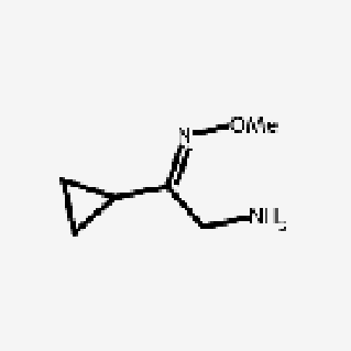 CON=C(CN)C1CC1